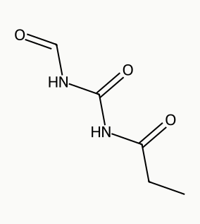 CCC(=O)NC(=O)NC=O